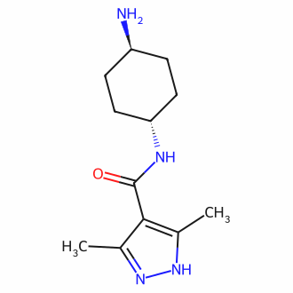 Cc1n[nH]c(C)c1C(=O)N[C@H]1CC[C@H](N)CC1